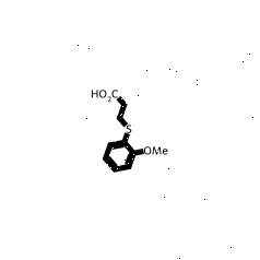 COc1ccccc1SCCC(=O)O